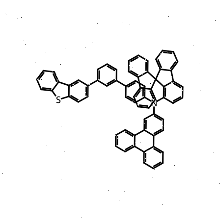 c1cc(-c2ccc(N(c3ccc4c5ccccc5c5ccccc5c4c3)c3cccc4c3C3(c5ccccc5-c5ccccc53)c3ccccc3-4)cc2)cc(-c2ccc3sc4ccccc4c3c2)c1